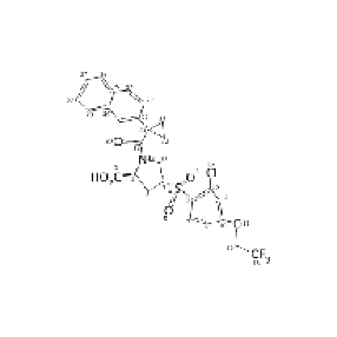 O=C(O)[C@@H]1C[C@@H](S(=O)(=O)c2ccc(OCC(F)(F)F)cc2Cl)CN1C(=O)C1(c2ccc3ccccc3c2)CC1